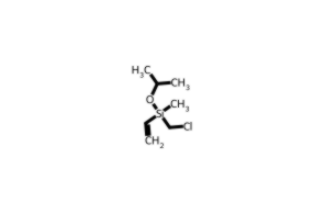 C=C[Si](C)(CCl)OC(C)C